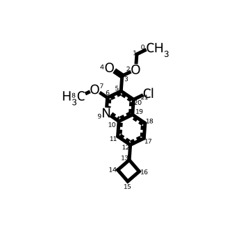 CCOC(=O)c1c(OC)nc2cc(C3CCC3)ccc2c1Cl